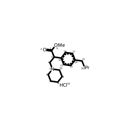 COC(=O)C(CN1CCCCC1)c1ccc(CC(C)C)cc1.Cl